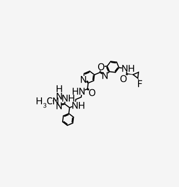 CN1N=C(C(NCCNC(=O)c2cc(-c3nc4cc(NC(=O)[C@H]5C[C@@H]5F)ccc4o3)ccn2)c2ccccc2)NN1